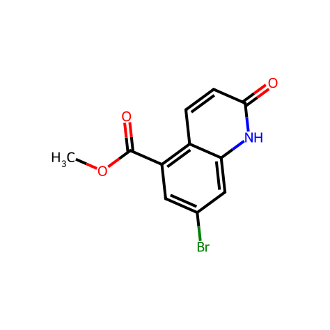 COC(=O)c1cc(Br)cc2[nH]c(=O)ccc12